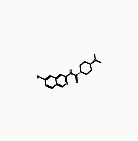 CN(C)[C@H]1CC[C@H](C(=O)Nc2cc3cc(Br)ccc3cn2)CC1